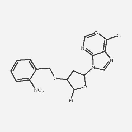 CCC1OC(n2cnc3c(Cl)ncnc32)CC1OCc1ccccc1[N+](=O)[O-]